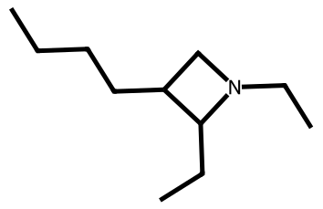 CCCCC1CN(CC)C1CC